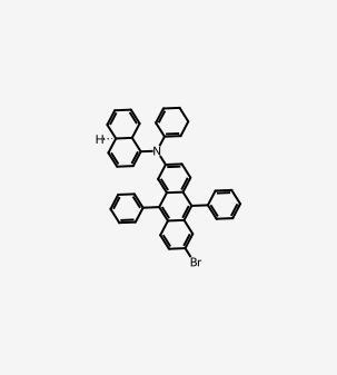 Brc1ccc2c(-c3ccccc3)c3cc(N(C4=CCCC=C4)C4=CC=C[C@H]5C=CC=CC45)ccc3c(-c3ccccc3)c2c1